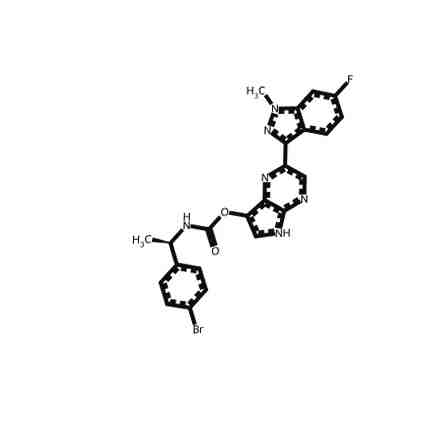 C[C@@H](NC(=O)Oc1c[nH]c2ncc(-c3nn(C)c4cc(F)ccc34)nc12)c1ccc(Br)cc1